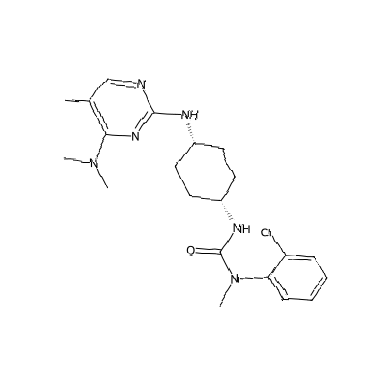 Cc1cnc(N[C@H]2CC[C@@H](NC(=O)N(C)c3ccccc3Cl)CC2)nc1N(C)C